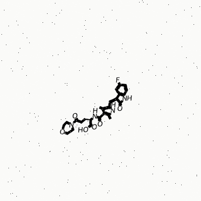 Cc1[nH]c(/C=C2\C(=O)Nc3ccc(F)cc32)c(C)c1C(=O)N[C@H](CCC(=O)N1CCOCC1)C(=O)O